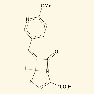 COc1ccc(C=C2C(=O)N3C(C(=O)O)=CS[C@@H]23)cn1